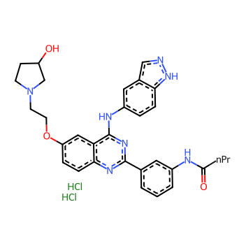 CCCC(=O)Nc1cccc(-c2nc(Nc3ccc4[nH]ncc4c3)c3cc(OCCN4CCC(O)C4)ccc3n2)c1.Cl.Cl